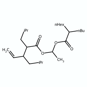 C=CC(CC(C)C)C(CC(C)C)C(=O)OC(C)OC(=O)C(CCCC)CCCCCC